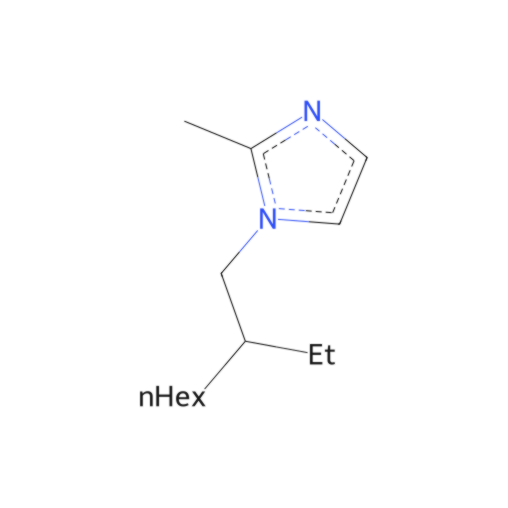 CCCCCCC(CC)Cn1ccnc1C